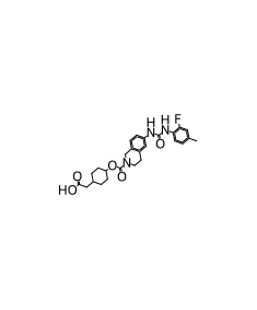 Cc1ccc(NC(=O)Nc2ccc3c(c2)CCN(C(=O)OC2CCC(CC(=O)O)CC2)C3)c(F)c1